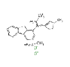 CCCCCC.C[SiH2][Zr+2]([C]1=CC(C)=CC1)[c]1cccc2c1Cc1ccccc1-2.[Cl-].[Cl-]